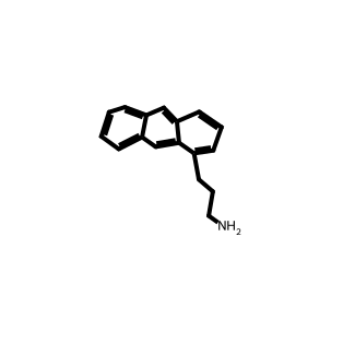 NCCCc1cccc2cc3ccccc3cc12